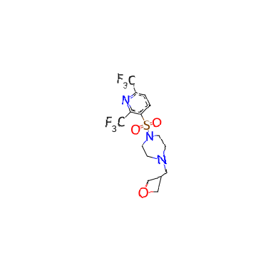 O=S(=O)(c1ccc(C(F)(F)F)nc1C(F)(F)F)N1CCN(CC2COC2)CC1